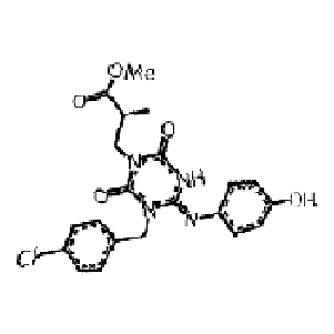 COC(=O)[C@@H](C)Cn1c(=O)[nH]/c(=N\c2ccc(O)cc2)n(Cc2ccc(Cl)cc2)c1=O